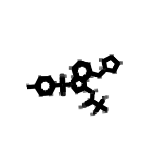 Cc1ccc(S(=O)(=O)n2cc(OC(=O)C(F)(F)F)c3c(CN4CCCC4)cccc32)cc1